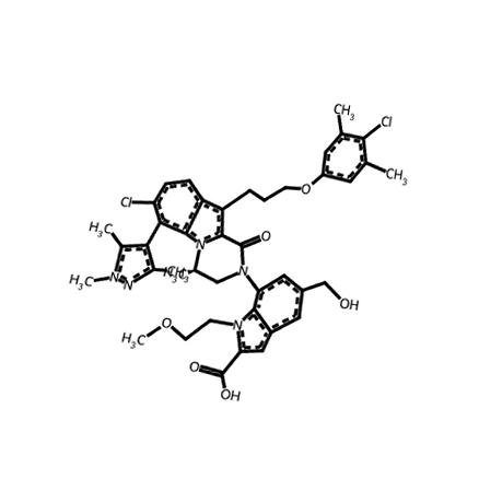 COCCn1c(C(=O)O)cc2cc(CO)cc(N3C[C@@H](C)n4c(c(CCCOc5cc(C)c(Cl)c(C)c5)c5ccc(Cl)c(-c6c(C)nn(C)c6C)c54)C3=O)c21